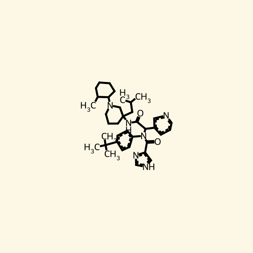 CC(C)CC1(NC(=O)C(c2cccnc2)N(C(=O)c2c[nH]cn2)c2ccc(C(C)(C)C)cc2)CCCN(C2CCCCC2C)C1